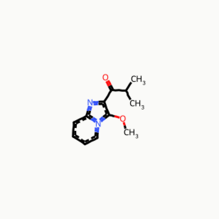 COc1c(C(=O)C(C)C)nc2ccccn12